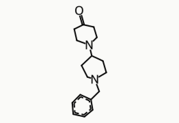 O=C1CCN(C2CCN(Cc3ccccc3)CC2)CC1